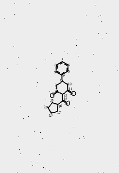 O=C1CC(c2ccccc2)CC(=O)C1C(=O)C1CCCC1